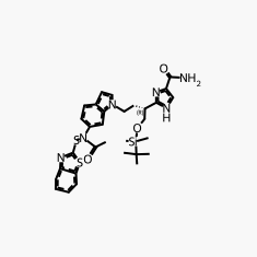 CC(=O)N(Sc1nc2ccccc2s1)c1ccc2ccn(CC[C@@H](CO[Si](C)(C)C(C)(C)C)c3nc(C(N)=O)c[nH]3)c2c1